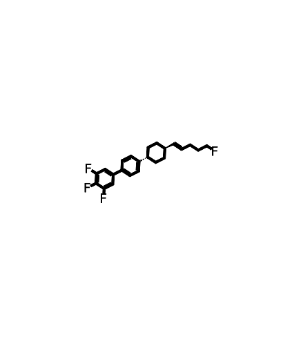 FCCCC=C[C@H]1CC[C@H](c2ccc(-c3cc(F)c(F)c(F)c3)cc2)CC1